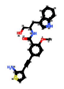 CC(C)Oc1ccc(C#Cc2ccsc2N)cc1C(=O)N[C@@H](CO)Cc1c[nH]c2ccccc12